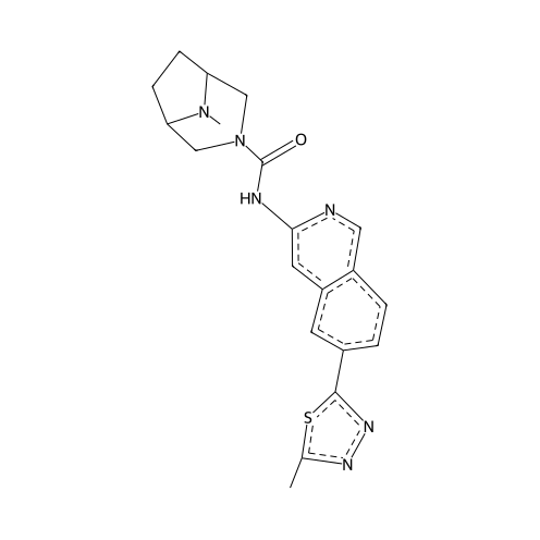 Cc1nnc(-c2ccc3cnc(NC(=O)N4CC5CCC(C4)N5C)cc3c2)s1